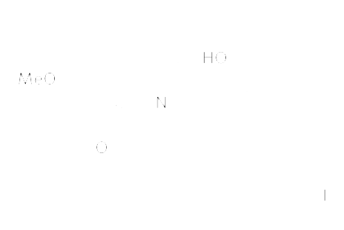 COc1cccn(Cc2cc(I)ccc2O)c1=O